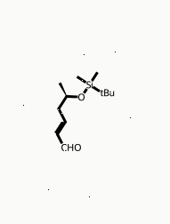 C[C@H](C/C=C/C=O)O[Si](C)(C)C(C)(C)C